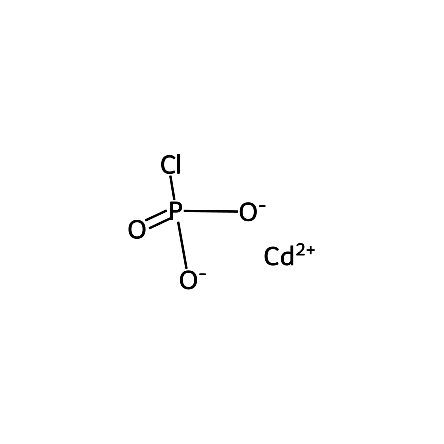 O=P([O-])([O-])Cl.[Cd+2]